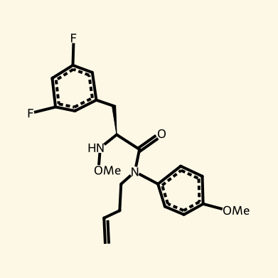 C=CCCN(C(=O)[C@H](Cc1cc(F)cc(F)c1)NOC)c1ccc(OC)cc1